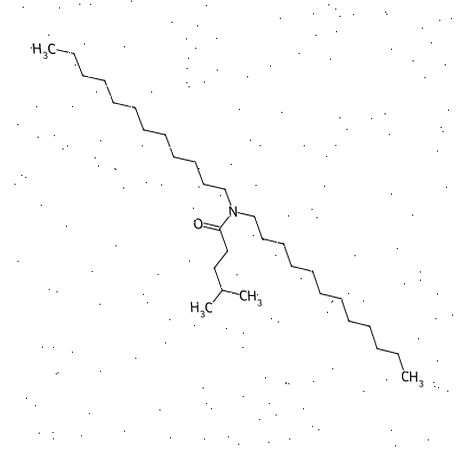 CCCCCCCCCCCCN(CCCCCCCCCCCC)C(=O)CCC(C)C